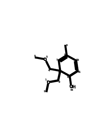 COCC1(COC)C=C(C)C=CC1O